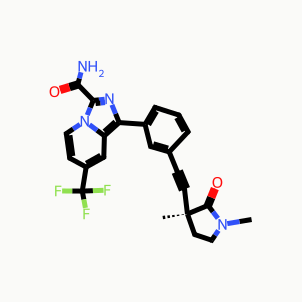 CN1CC[C@@](C)(C#Cc2cccc(-c3nc(C(N)=O)n4ccc(C(F)(F)F)cc34)c2)C1=O